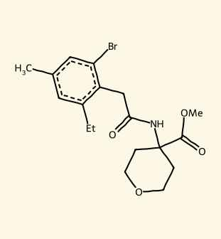 CCc1cc(C)cc(Br)c1CC(=O)NC1(C(=O)OC)CCOCC1